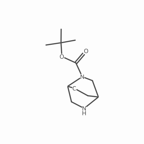 CC(C)(C)OC(=O)N1CC2CCC1CN2